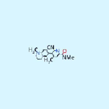 CNC(=O)c1cc(C)c(-c2cc3c(cc2C#N)N(C)CCC3)cn1